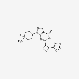 CC1(F)CCC(n2ncc3c(=O)[nH]c(C4CCC4c4nnco4)nc32)CC1